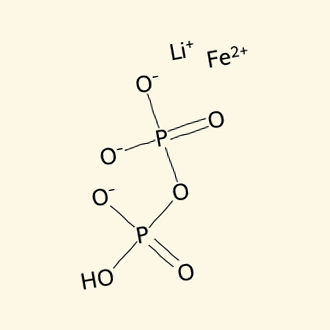 O=P([O-])([O-])OP(=O)([O-])O.[Fe+2].[Li+]